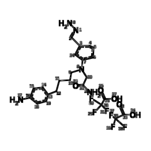 NN=Cc1cccc(N(CCCCc2ccc(N)cc2)CC(N)=O)c1.O=C(O)C(F)(F)F.O=C(O)C(F)(F)F